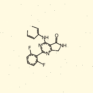 C/C=C\C(=C/C)Nc1nc(-c2c(F)cccc2F)nc2c1C(=O)NC2